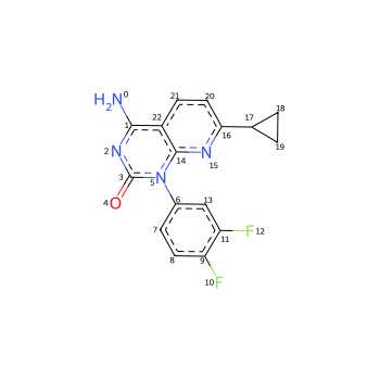 Nc1nc(=O)n(-c2ccc(F)c(F)c2)c2nc(C3CC3)ccc12